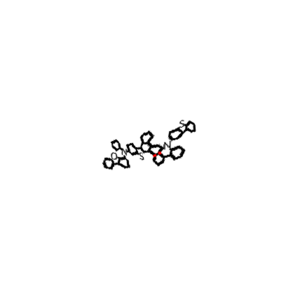 c1ccc(-c2ccccc2N(c2ccc3sc4ccccc4c3c2)c2ccc3c(c2)c2ccccc2c2c4ccc(N(c5ccccc5)c5cccc6c5oc5ccccc56)cc4sc32)cc1